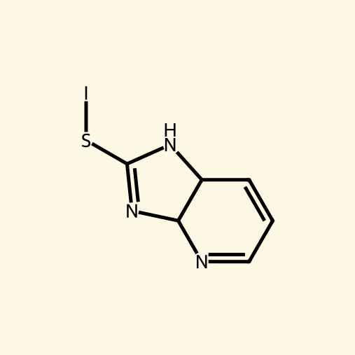 ISC1=NC2N=CC=CC2N1